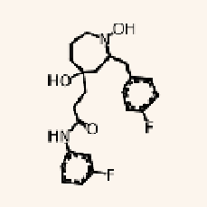 O=C(CCC1(O)CCCN(O)C(Cc2ccc(F)cc2)C1)Nc1cccc(F)c1